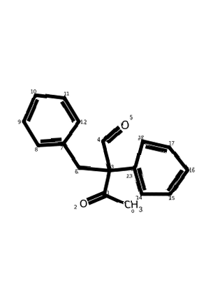 CC(=O)C([C]=O)(Cc1ccccc1)c1ccccc1